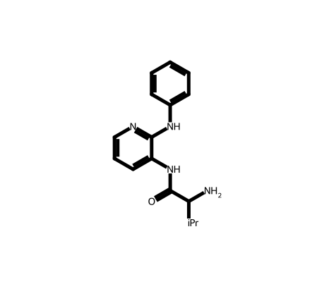 CC(C)C(N)C(=O)Nc1cccnc1Nc1ccccc1